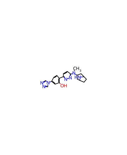 CN(c1ccc(-c2ccc(-n3cnnc3)cc2O)nn1)C1CC2CCC(C1)N2